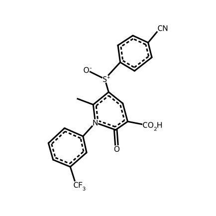 Cc1c([S+]([O-])c2ccc(C#N)cc2)cc(C(=O)O)c(=O)n1-c1cccc(C(F)(F)F)c1